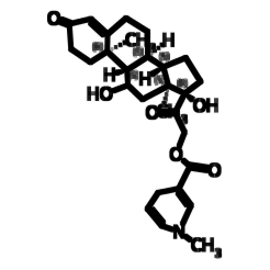 CN1C=CCC(C(=O)OCC(=O)[C@@]2(O)CC[C@H]3[C@@H]4CCC5=CC(=O)CC[C@]5(C)[C@H]4C(O)C[C@@]32C)=C1